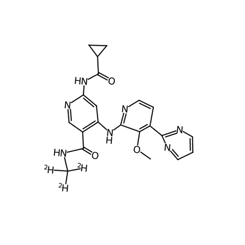 [2H]C([2H])([2H])NC(=O)c1cnc(NC(=O)C2CC2)cc1Nc1nccc(-c2ncccn2)c1OC